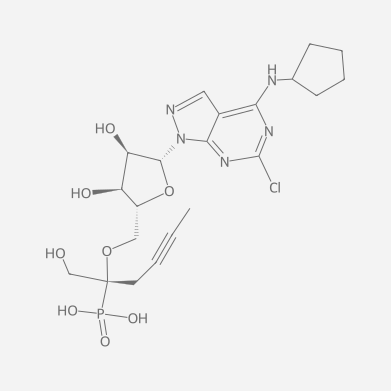 CC#CC[C@@](CO)(OC[C@H]1O[C@@H](n2ncc3c(NC4CCCC4)nc(Cl)nc32)[C@H](O)[C@@H]1O)P(=O)(O)O